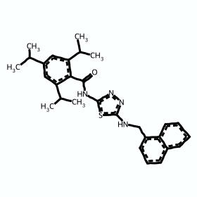 CC(C)c1cc(C(C)C)c(C(=O)Nc2nnc(NCc3cccc4ccccc34)s2)c(C(C)C)c1